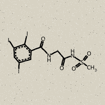 CS(=O)(=O)NC(=O)CNC(=O)c1cc(I)cc(I)c1I